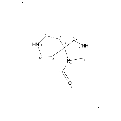 O=CN1CNCC12CCNCC2